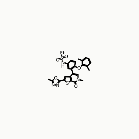 CCS(=O)(=O)Nc1ccc(Oc2c(C)cccc2C)c(-c2cn(C)c(=O)c3sc(-c4nnc(C)o4)cc23)c1